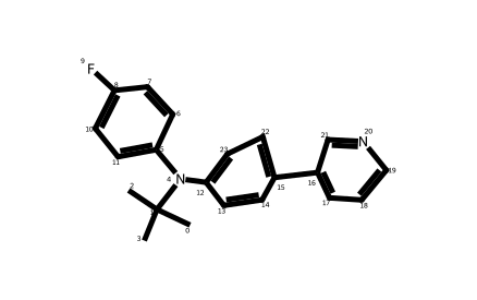 CC(C)(C)N(c1ccc(F)cc1)c1ccc(-c2cccnc2)cc1